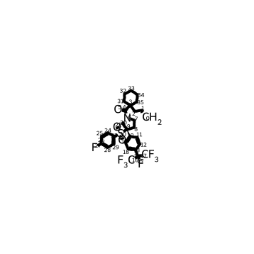 C=CCC1(C(=O)N2CC[C@](c3ccc(C(F)(C(F)(F)F)C(F)(F)F)cc3)(S(=O)(=O)c3ccc(F)cc3)C2)CCCCC1